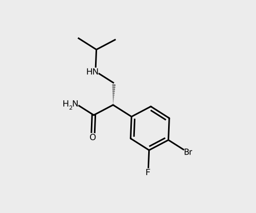 CC(C)NC[C@@H](C(N)=O)c1ccc(Br)c(F)c1